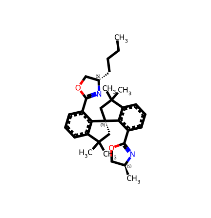 CCCC[C@H]1COC(c2cccc3c2[C@@]2(CC3(C)C)CC(C)(C)c3cccc(C4=N[C@@H](C)CO4)c32)=N1